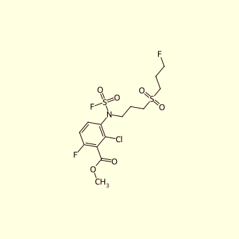 COC(=O)c1c(F)ccc(N(CCCS(=O)(=O)CCCF)S(=O)(=O)F)c1Cl